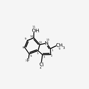 Cc1cc(Cl)c2c(F)ccc(O)c2n1